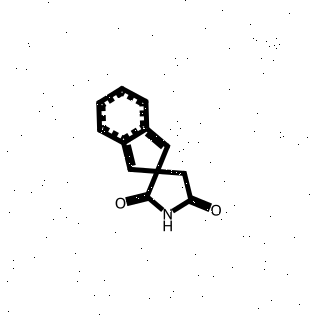 O=C1CC2(C=c3ccccc3=C2)C(=O)N1